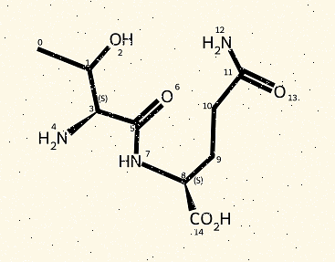 CC(O)[C@H](N)C(=O)N[C@@H](CCC(N)=O)C(=O)O